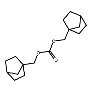 O=C(OCC12CCC(CC1)C2)OCC12CCC(CC1)C2